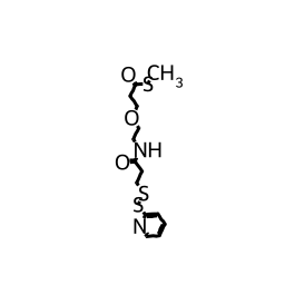 CSC(=O)CCOCCNC(=O)CCSSc1ccccn1